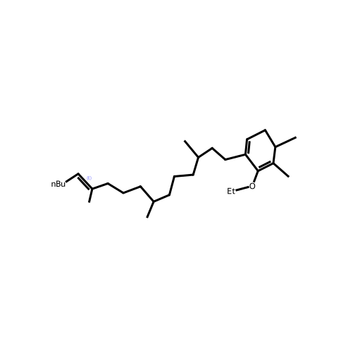 CCCC/C=C(\C)CCCC(C)CCCC(C)CCC1=CCC(C)C(C)=C1OCC